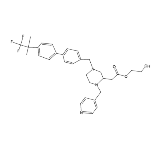 CC(C)(c1ccc(-c2ccc(CN3CCN(Cc4ccncc4)C(CC(=O)OCCO)C3)cc2)cc1)C(F)(F)F